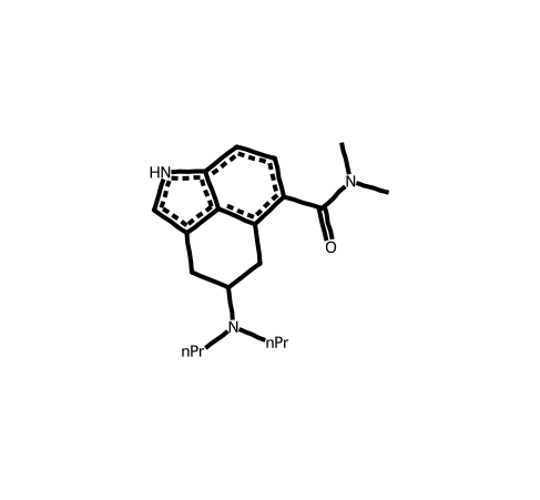 CCCN(CCC)C1Cc2c[nH]c3ccc(C(=O)N(C)C)c(c23)C1